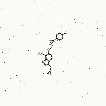 FC(F)(F)c1c(OC[C@@H]2C[C@H]2c2ccc(Cl)cc2)ccn2c(CC3CC3)nnc12